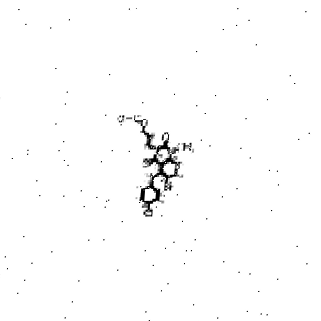 Cn1c(=O)n(CCCOC=O)c(=O)c2c(Cc3ccc(Cl)cc3)c(Br)cnc21